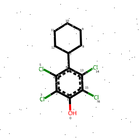 Oc1c(Cl)c(Cl)c(C2CCCCC2)c(Cl)c1Cl